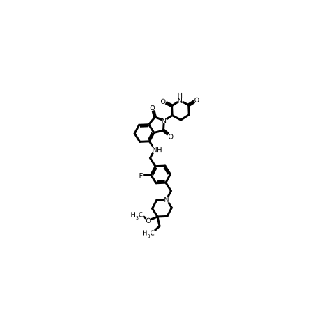 CCC1(OC)CCN(Cc2ccc(CNC3=C4C(=O)N(C5CCC(=O)NC5=O)C(=O)C4=CCC3)c(F)c2)CC1